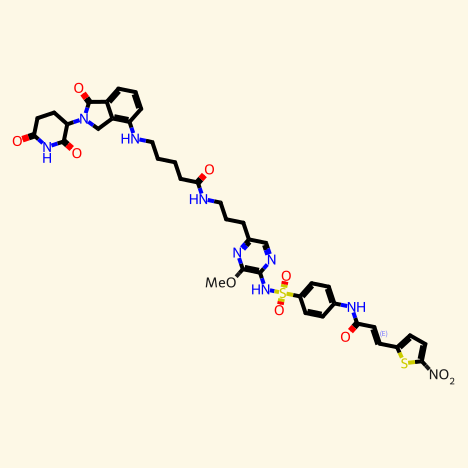 COc1nc(CCCNC(=O)CCCCNc2cccc3c2CN(C2CCC(=O)NC2=O)C3=O)cnc1NS(=O)(=O)c1ccc(NC(=O)/C=C/c2ccc([N+](=O)[O-])s2)cc1